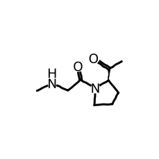 CNCC(=O)N1CCC[C@@H]1C(C)=O